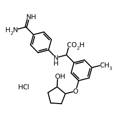 Cc1cc(OC2CCCC2O)cc(C(Nc2ccc(C(=N)N)cc2)C(=O)O)c1.Cl